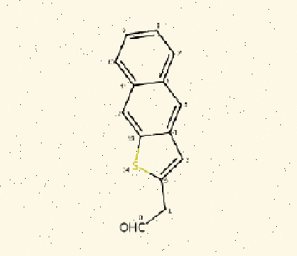 O=CCc1cc2cc3ccccc3cc2s1